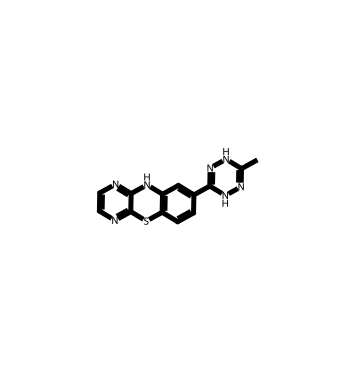 CC1=NNC(c2ccc3c(c2)Nc2nccnc2S3)=NN1